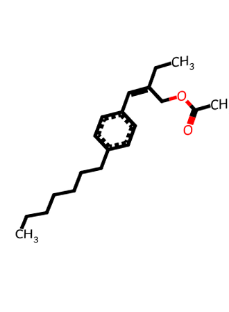 CCCCCCCc1ccc(C=C(CC)COC(C)=O)cc1